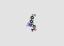 N#Cc1ccc(-c2ccc(-n3c(C[C@@H]4CCN(C(=O)C5CC5)C4)n[nH]c3=O)c(F)c2)cc1